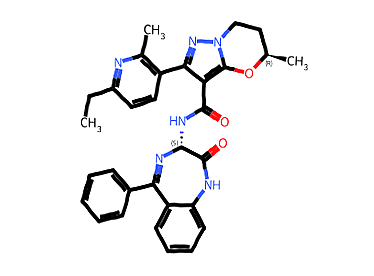 CCc1ccc(-c2nn3c(c2C(=O)N[C@H]2N=C(c4ccccc4)c4ccccc4NC2=O)O[C@H](C)CC3)c(C)n1